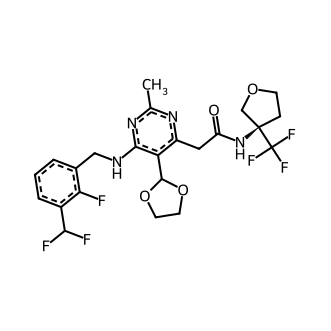 Cc1nc(CC(=O)N[C@]2(C(F)(F)F)CCOC2)c(C2OCCO2)c(NCc2cccc(C(F)F)c2F)n1